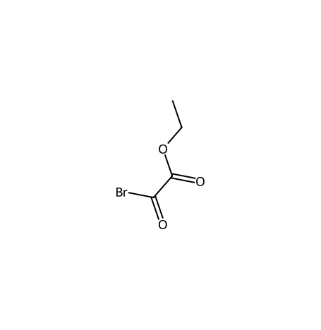 CCOC(=O)C(=O)Br